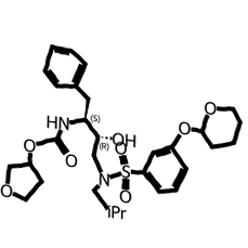 CC(C)CN(C[C@@H](O)[C@H](Cc1ccccc1)NC(=O)OC1CCOC1)S(=O)(=O)c1cccc(OC2CCCCO2)c1